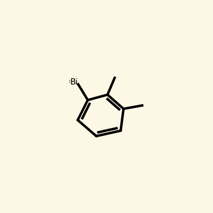 Cc1ccc[c]([Bi])c1C